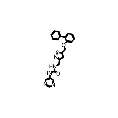 O=C(NCC1=NOC(COc2ccccc2-c2ccccc2)C1)Nc1cncnc1